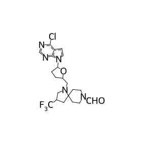 O=CN1CCC2(CC1)CC(C(F)(F)F)CN2CC1CCC(n2ccc3c(Cl)ncnc32)O1